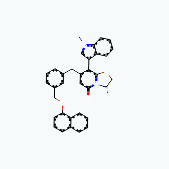 Cn1cc(-c2c(Cc3cccc(COc4cccc5ccccc45)c3)cc(=O)n3c2SC[C@H]3C(=O)O)c2ccccc21